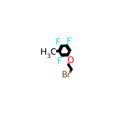 Cc1c(F)c(F)cc(OCCBr)c1F